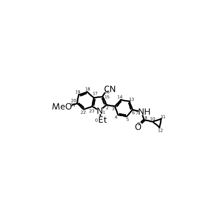 CCn1c(-c2ccc(NC(=O)C3CC3)cc2)c(C#N)c2ccc(OC)cc21